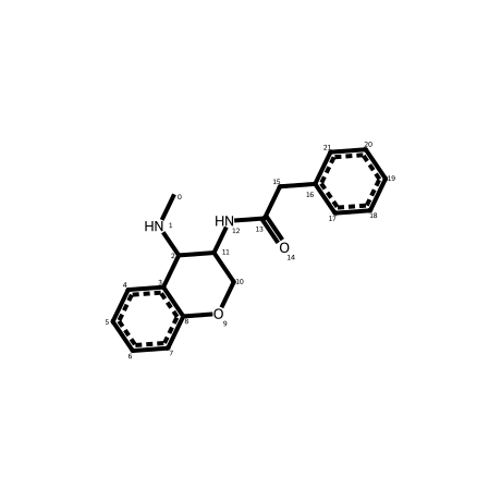 CNC1c2ccccc2OCC1NC(=O)Cc1ccccc1